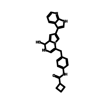 O=C(Nc1ccc(CC2=CNC(O)c3cc(-c4c[nH]c5ncccc45)cn32)cc1)C1CCC1